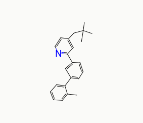 Cc1ccccc1-c1cccc(-c2cc(CC(C)(C)C)ccn2)c1